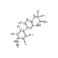 O=C1Nc2cc(-c3c(F)c(F)c(NBr)c(F)c3F)c(F)cc2OC1(F)F